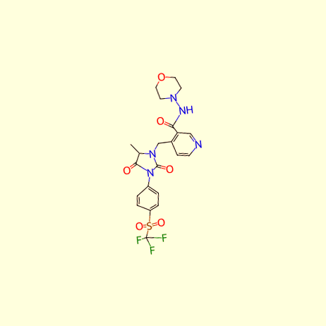 CC1C(=O)N(c2ccc(S(=O)(=O)C(F)(F)F)cc2)C(=O)N1Cc1ccncc1C(=O)NN1CCOCC1